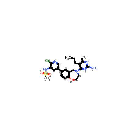 CCCc1c(C)nc(N)nc1N1CCOc2ccc(-c3cnc(Cl)c(NS(C)(=O)=O)c3)cc2C1